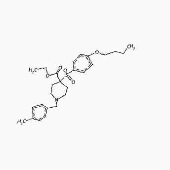 CCCCOc1ccc(S(=O)(=O)C2(C(=O)OCC)CCN(Cc3ccc(C)cc3)CC2)cc1